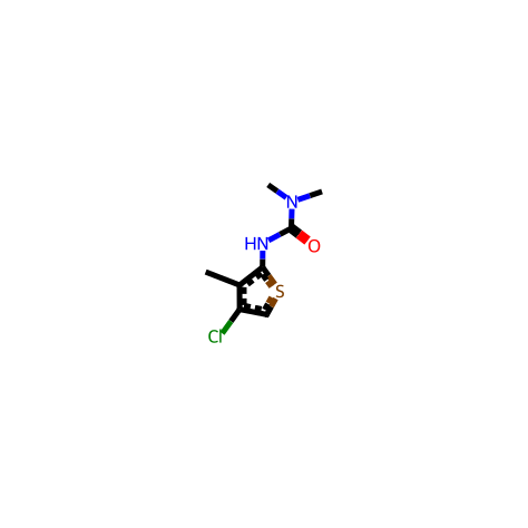 Cc1c(Cl)csc1NC(=O)N(C)C